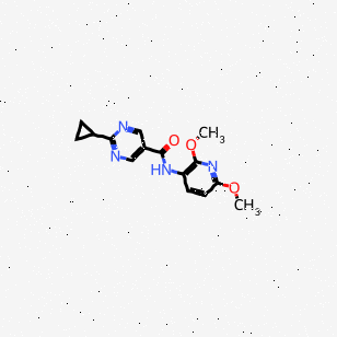 COc1ccc(NC(=O)c2cnc(C3CC3)nc2)c(OC)n1